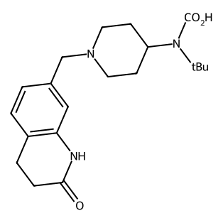 CC(C)(C)N(C(=O)O)C1CCN(Cc2ccc3c(c2)NC(=O)CC3)CC1